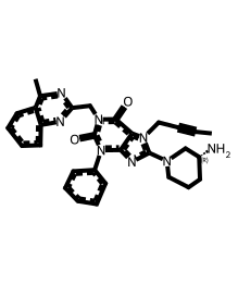 CC#CCn1c(N2CCC[C@@H](N)C2)nc2c1c(=O)n(Cc1nc(C)c3ccccc3n1)c(=O)n2-c1ccccc1